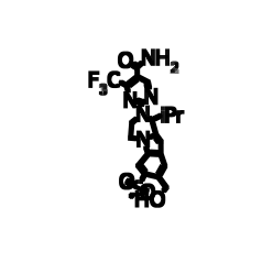 CC(C)C1c2cc3cc(CO)c(S(C)(=O)=O)cc3n2CCN1c1ncc(C(N)=O)c(C(F)(F)F)n1